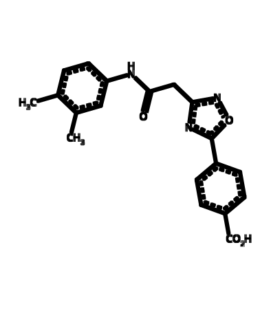 Cc1ccc(NC(=O)Cc2noc(-c3ccc(C(=O)O)cc3)n2)cc1C